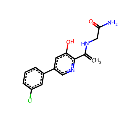 C=C(NCC(N)=O)c1ncc(-c2cccc(Cl)c2)cc1O